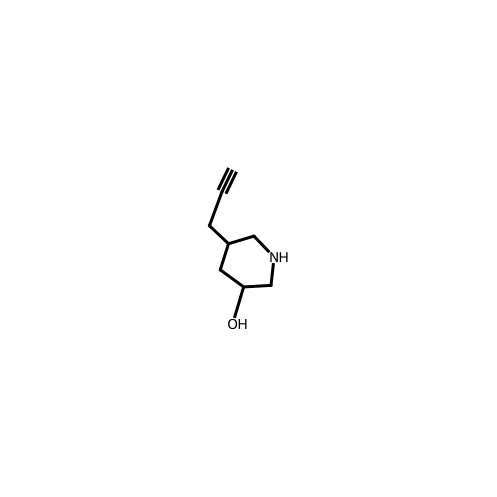 C#CCC1CNCC(O)C1